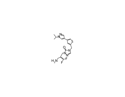 CC(C)n1cc(-c2csc(Cn3cnn(CC(CN)=C(F)F)c3=O)c2)cn1